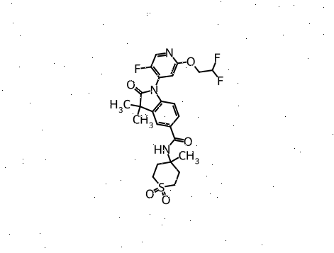 CC1(NC(=O)c2ccc3c(c2)C(C)(C)C(=O)N3c2cc(OCC(F)F)ncc2F)CCS(=O)(=O)CC1